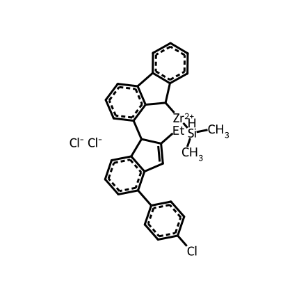 CCC1=Cc2c(-c3ccc(Cl)cc3)cccc2C1c1cccc2c1[CH]([Zr+2][SiH](C)C)c1ccccc1-2.[Cl-].[Cl-]